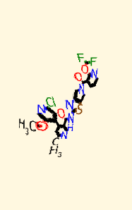 COc1cnc(Cl)cc1-c1cc(C)ncc1C(=O)Nc1nc2c(s1)CN(C(=O)c1cccnc1OC(F)F)C2